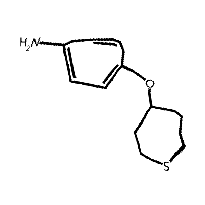 Nc1ccc(OC2CCSCC2)cc1